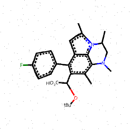 Cc1c(C(OC(C)(C)C)C(=O)O)c(-c2ccc(F)cc2)c2cc(C)n3c2c1N(C)CC3C